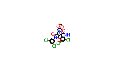 O=C1C2C3CC4(CN3C3(C(=O)Nc5c(Cl)cc(Cl)cc53)C2C(=O)N1c1cc(Cl)cc(Cl)c1)OCCO4